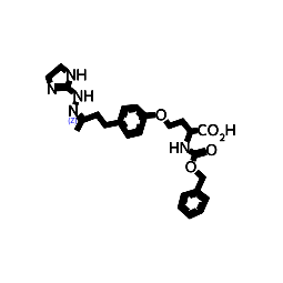 C/C(CCc1ccc(OCCC(NC(=O)OCc2ccccc2)C(=O)O)cc1)=N/NC1=NCCN1